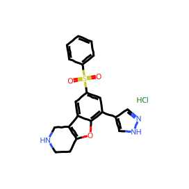 Cl.O=S(=O)(c1ccccc1)c1cc(-c2cn[nH]c2)c2oc3c(c2c1)CNCC3